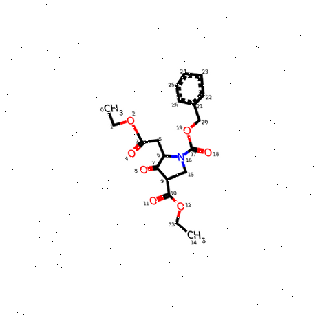 CCOC(=O)CC1C(=O)C(C(=O)OCC)CN1C(=O)OCc1ccccc1